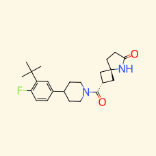 CC(C)(C)c1cc(C2CCN(C(=O)[C@H]3C[C@]4(CCC(=O)N4)C3)CC2)ccc1F